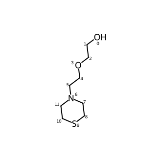 OCCOCCN1CCSCC1